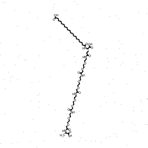 C[C@H](NC(=O)COCCOCCNC(=O)COCCOCCNC(=O)COCCOCCNC(=O)COCCOCCNC(=O)CC[C@H](NC(=O)CCCCCCCCCCCCCCCCCCC(=O)O)C(=O)O)C(=O)S